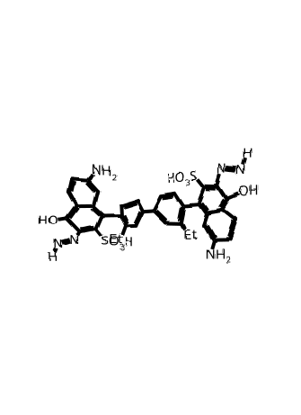 [H]/N=N/c1c(S(=O)(=O)O)c(-c2ccc(-c3ccc(-c4c(S(=O)(=O)O)c(/N=N/[H])c(O)c5ccc(N)cc45)c(CC)c3)cc2CC)c2cc(N)ccc2c1O